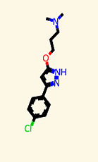 CN(C)CCCOc1cc(-c2ccc(Cl)cc2)n[nH]1